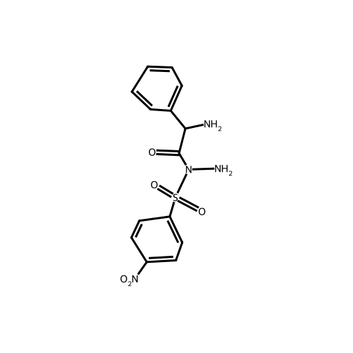 NC(C(=O)N(N)S(=O)(=O)c1ccc([N+](=O)[O-])cc1)c1ccccc1